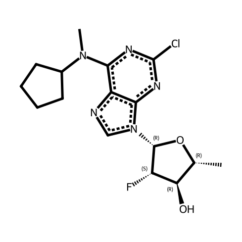 C[C@H]1O[C@@H](n2cnc3c(N(C)C4CCCC4)nc(Cl)nc32)[C@@H](F)[C@@H]1O